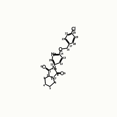 O=C1C2CCCCN2C(=O)N1c1ccc(OCc2ccc(Cl)cc2)nc1